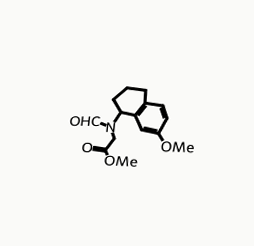 COC(=O)CN(C=O)C1CCCc2ccc(OC)cc21